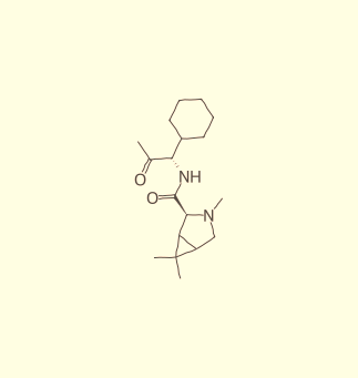 CC(=O)[C@@H](NC(=O)[C@@H]1C2C(CN1C)C2(C)C)C1CCCCC1